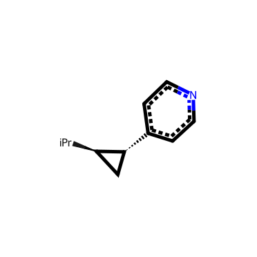 CC(C)[C@@H]1C[C@H]1c1ccncc1